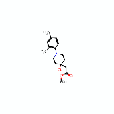 CCCCOC(=O)CC1(O)CCN(c2ccc([N+](=O)[O-])cc2C(F)(F)F)CC1